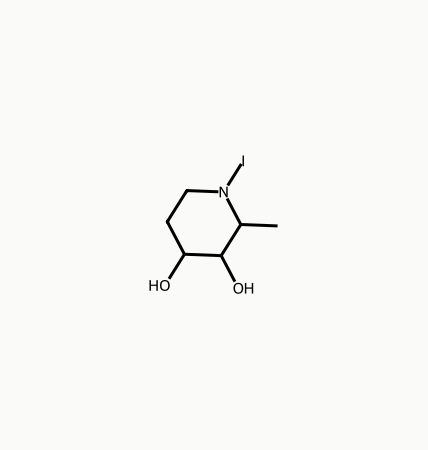 CC1C(O)C(O)CCN1I